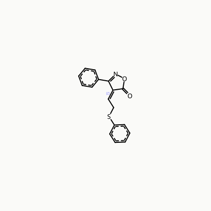 O=C1ON=C(c2ccccc2)/C1=C/CSc1ccccc1